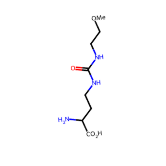 COCCNC(=O)NCCC(N)C(=O)O